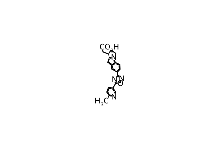 Cc1ccc(-c2nc(-c3ccc4c(c3)cc3n4CCC3CC(=O)O)no2)cn1